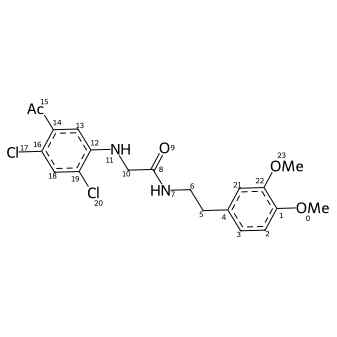 COc1ccc(CCNC(=O)CNc2cc(C(C)=O)c(Cl)cc2Cl)cc1OC